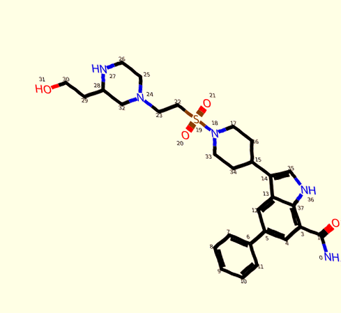 NC(=O)c1cc(-c2ccccc2)cc2c(C3CCN(S(=O)(=O)CCN4CCNC(CCO)C4)CC3)c[nH]c12